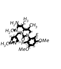 C=N/C(N)=C(/C)C1=C(C)CN(c2c(F)c(OC)cc(OC)c2F)C(=O)N1Cc1cnn(C)c1